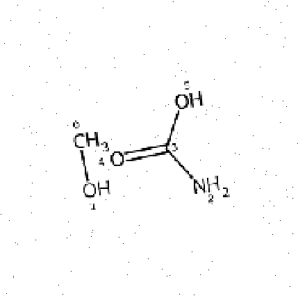 CO.NC(=O)O